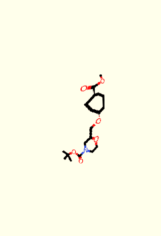 COC(=O)[C@H]1CC[C@H](OCC2CN(C(=O)OC(C)(C)C)CCO2)CC1